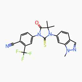 Cn1ncc2ccc(N3C(=S)N(c4ccc(C#N)c(C(F)(F)F)c4)C(=O)C3(C)C)cc21